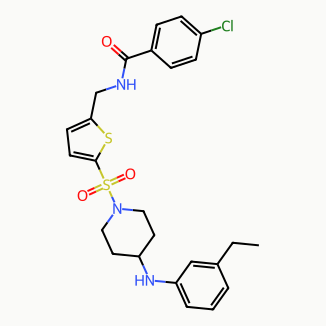 CCc1cccc(NC2CCN(S(=O)(=O)c3ccc(CNC(=O)c4ccc(Cl)cc4)s3)CC2)c1